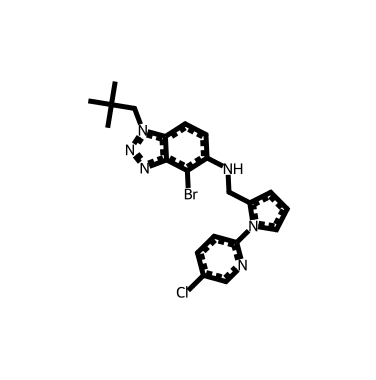 CC(C)(C)Cn1nnc2c(Br)c(NCc3cccn3-c3ccc(Cl)cn3)ccc21